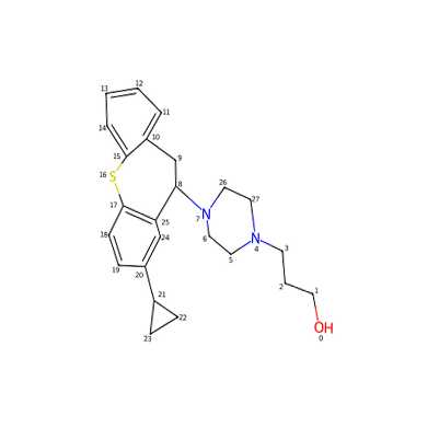 OCCCN1CCN(C2Cc3ccccc3Sc3ccc(C4CC4)cc32)CC1